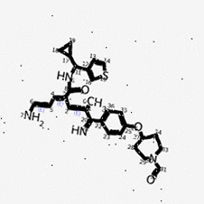 C\C(=C/C(=C\C=C\N)C(=O)NC(c1ccsc1)C1CC1)C(=N)c1ccc(OC2CCN(C=O)CC2)cc1